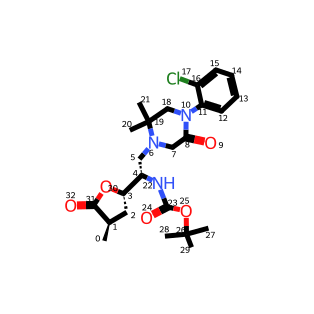 C[C@@H]1C[C@@H]([C@H](CN2CC(=O)N(c3ccccc3Cl)CC2(C)C)NC(=O)OC(C)(C)C)OC1=O